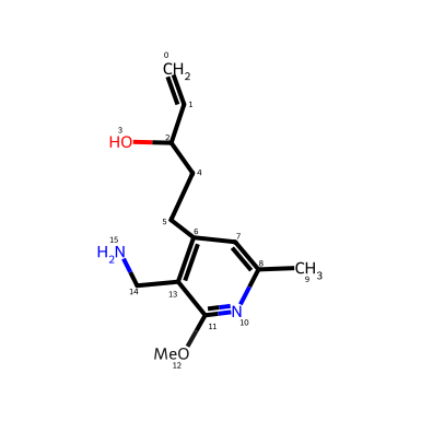 C=CC(O)CCc1cc(C)nc(OC)c1CN